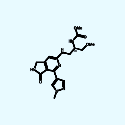 COC[C@@H](CNc1cc2c(c(-c3cnn(C)c3)n1)C(=O)NC2)NC(=O)OC